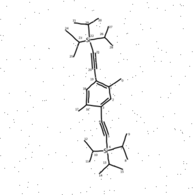 Cc1cc(C#C[Si](C(C)C)(C(C)C)C(C)C)c(C)cc1C#C[Si](C(C)C)(C(C)C)C(C)C